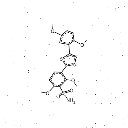 COc1ccc(OC)c(-c2nnc(-c3ccc(OC)c(S(N)(=O)=O)c3OC)s2)c1